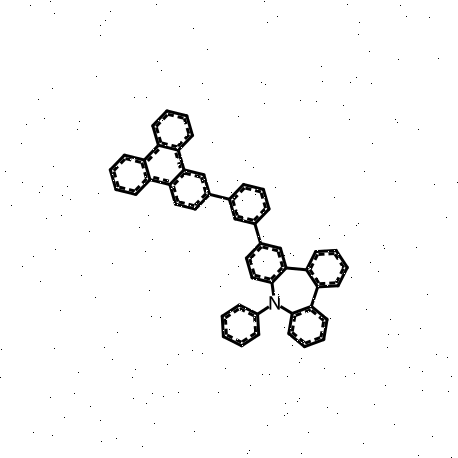 c1ccc(N2c3ccccc3-c3ccccc3-c3cc(-c4cccc(-c5ccc6c7ccccc7c7ccccc7c6c5)c4)ccc32)cc1